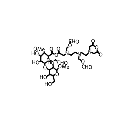 COC1OC(CO)C(O)C(OC2OC(C(=O)OC(=O)CN(CCN(CCN3CC(=O)OC(=O)C3)COC=O)COC=O)C(OC)C(O)C2O)C1NCC=O